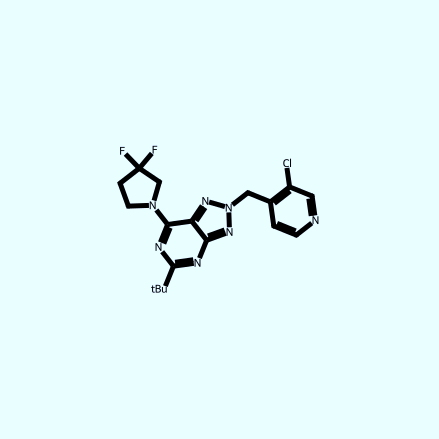 CC(C)(C)c1nc(N2CCC(F)(F)C2)c2nn(Cc3ccncc3Cl)nc2n1